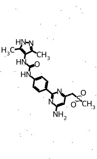 Cc1n[nH]c(C)c1NC(=O)Nc1ccc(-c2nc(N)cc(CS(C)(=O)=O)n2)cc1